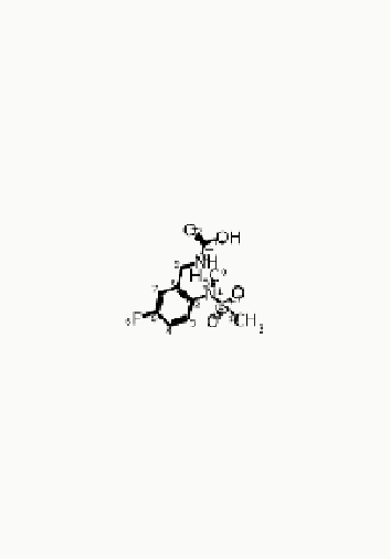 CN(c1ccc(F)cc1CNC(=O)O)S(C)(=O)=O